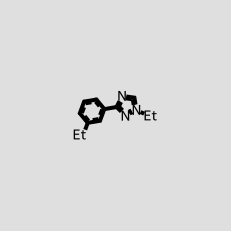 CCc1cccc(-c2ncn(CC)n2)c1